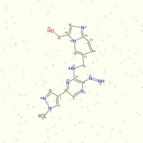 Cn1cc(-c2cnc(N=N)c(NCc3ccc4ncc(CO)n4c3)n2)cn1